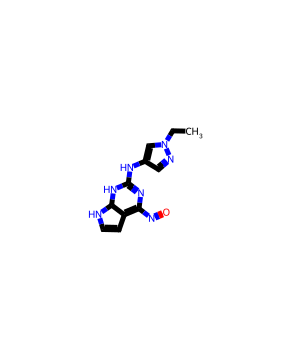 CCn1cc(NC2=NC(N=O)=C3C=CNC3N2)cn1